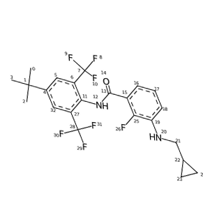 CC(C)(C)c1cc(C(F)(F)F)c(NC(=O)c2cccc(NCC3CC3)c2F)c(C(F)(F)F)c1